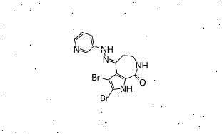 O=C1NCC/C(=N\Nc2cccnc2)c2c1[nH]c(Br)c2Br